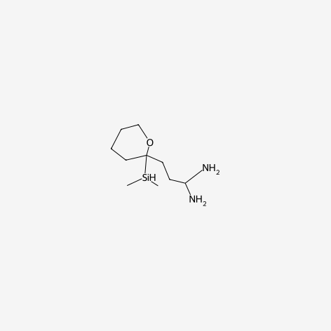 C[SiH](C)C1(CCC(N)N)CCCCO1